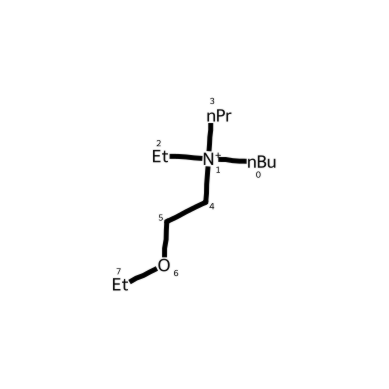 CCCC[N+](CC)(CCC)CCOCC